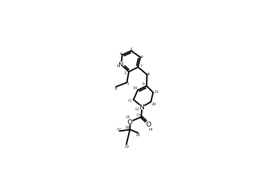 CCc1ncccc1CC1=CCN(C(=O)OC(C)(C)C)CC1